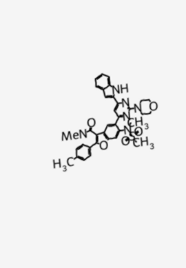 CNC(=O)c1c(-c2ccc(C)cc2)oc2cc(N(C)S(C)(=O)=O)c(-c3cc(-c4cc5ccccc5[nH]4)nc(N4CCOCC4)n3)cc12